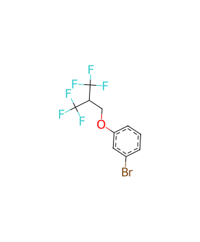 FC(F)(F)C(COc1cccc(Br)c1)C(F)(F)F